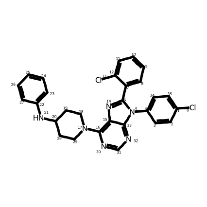 Clc1ccc(-n2c(-c3ccccc3Cl)nc3c(N4CCC(Nc5ccccc5)CC4)ncnc32)cc1